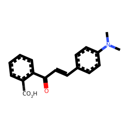 CN(C)c1ccc(/C=C/C(=O)c2ccccc2C(=O)O)cc1